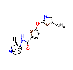 Cc1cnc(Oc2ccc(C(=O)N[C@H]3CN4CCC3CC4)s2)s1